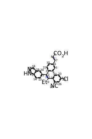 CC/C(=C(/c1ccc(/C=C/C(=O)O)cc1)c1ccc2[nH]ncc2c1)c1ccc(Cl)cc1C#N